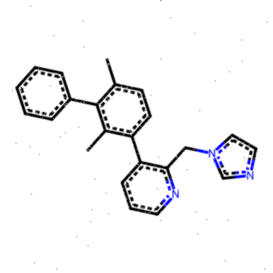 Cc1ccc(-c2cccnc2Cn2ccnc2)c(C)c1-c1ccccc1